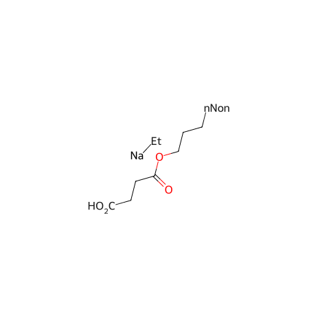 CCCCCCCCCCCCOC(=O)CCC(=O)O.C[CH2][Na]